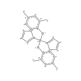 Cc1ccc([O][Zr]([O]c2ccc(C)cc2C)([C]2=CC=CC2)[C]2=CC=CC2)c(C)c1